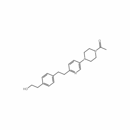 CC(=O)N1CCN(c2ccc(CCc3ccc(CCO)cc3)nc2)CC1